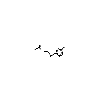 CCC(=O)OCC(O)c1ccc([N+](=O)[O-])s1